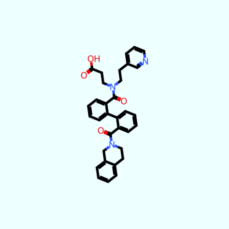 O=C(O)CCN(CCc1cccnc1)C(=O)c1ccccc1-c1ccccc1C(=O)N1CCc2ccccc2C1